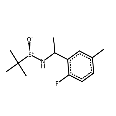 Cc1ccc(F)c(C(C)N[S@+]([O-])C(C)(C)C)c1